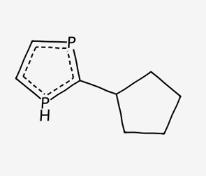 c1c[pH]c(C2CCCC2)p1